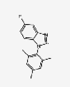 Cc1cc(C)c(-n2[c]nc3cc(F)ccc32)c(C)c1